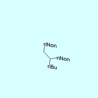 [CH2]CCCC(CCCCCCCCC)CCCCCCCCCC